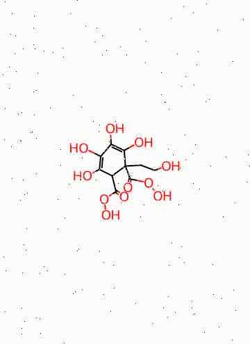 O=C(OO)C1C(O)=C(O)C(O)=C(O)C1(CCO)C(=O)OO